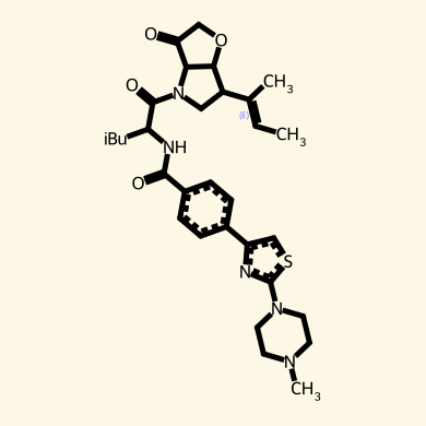 C/C=C(\C)C1CN(C(=O)C(NC(=O)c2ccc(-c3csc(N4CCN(C)CC4)n3)cc2)C(C)CC)C2C(=O)COC12